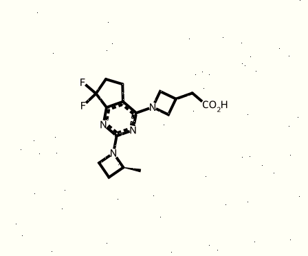 C[C@H]1CCN1c1nc(N2CC(CC(=O)O)C2)c2c(n1)C(F)(F)CC2